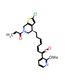 C=CC(=O)N1Cc2sc(Cl)cc2[C@@H](CC/C=C\C=C/C(=C=O)c2cccnc2OC)C1